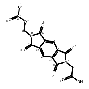 O=C(O)Cn1c(=O)c2cc3c(=O)n(CO[N+](=O)[O-])c(=O)c3cc2c1=O